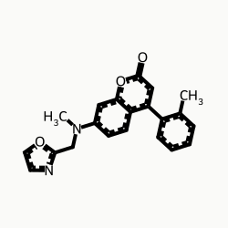 Cc1ccccc1-c1cc(=O)oc2cc(N(C)Cc3ncco3)ccc12